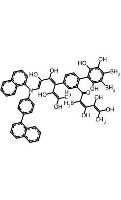 B/C(C(=O)c1cc(C(/C(O)=C(\C)O)=C(O)/C(O)=C/N(c2ccc(-c3cccc4ccccc34)cc2)c2cccc3ccccc23)ccc1-c1c(O)c(B)c(B)c(O)c1O)=C(O)/C(O)=C(\C)O